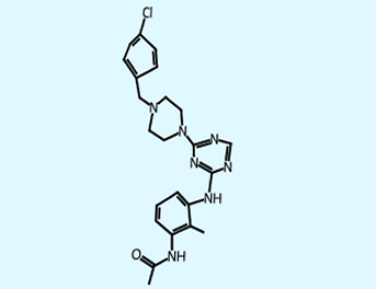 CC(=O)Nc1cccc(Nc2ncnc(N3CCN(Cc4ccc(Cl)cc4)CC3)n2)c1C